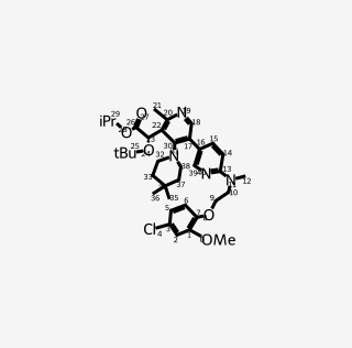 COc1cc(Cl)ccc1OCCN(C)c1ccc(-c2cnc(C)c([C@H](OC(C)(C)C)C(=O)OC(C)C)c2N2CCC(C)(C)CC2)cn1